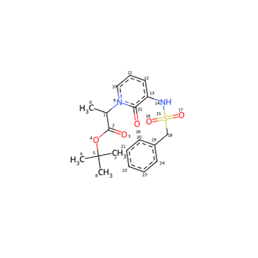 CC(C(=O)OC(C)(C)C)n1cccc(NS(=O)(=O)Cc2ccccc2)c1=O